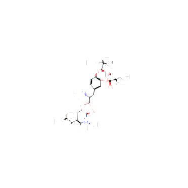 CC(=C(CCOC(=O)C(N)Cc1ccc(OC(=O)C(C)(C)C)c(OC(=O)C(C)(C)C)c1)C(C)C(S)S)N(C)C=O